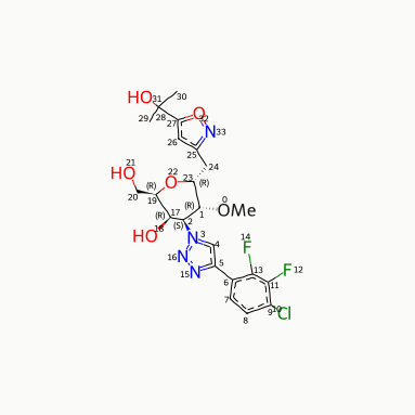 CO[C@@H]1[C@@H](n2cc(-c3ccc(Cl)c(F)c3F)nn2)[C@@H](O)[C@@H](CO)O[C@@H]1Cc1cc(C(C)(C)O)on1